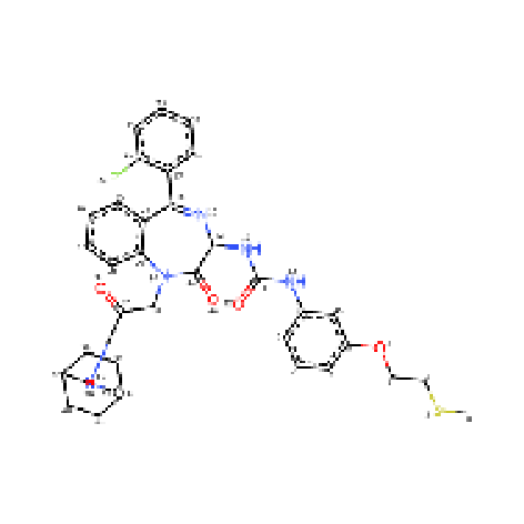 CSCCOc1cccc(NC(=O)N[C@@H]2N=C(c3ccccc3F)c3ccccc3N(CC(=O)N3CC4CCC(CC4)C3)C2=O)c1